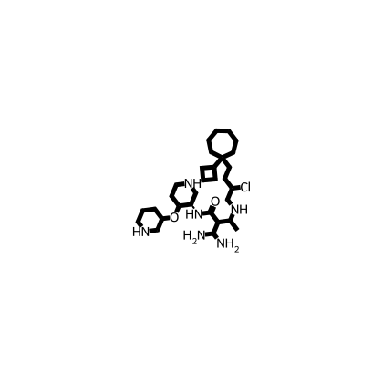 CC(NCC(Cl)CCC1(C2CCC2)CCCCCC1)C(C(=O)N[C@H]1CNCCC1OC1CCCNC1)C(N)N